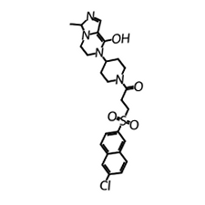 CC1N=CC2=C(O)N(C3CCN(C(=O)CCS(=O)(=O)c4ccc5cc(Cl)ccc5c4)CC3)CCN21